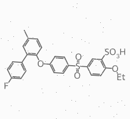 CCOc1ccc(S(=O)(=O)c2ccc(Oc3ccc(C)cc3-c3ccc(F)cc3)cc2)cc1S(=O)(=O)O